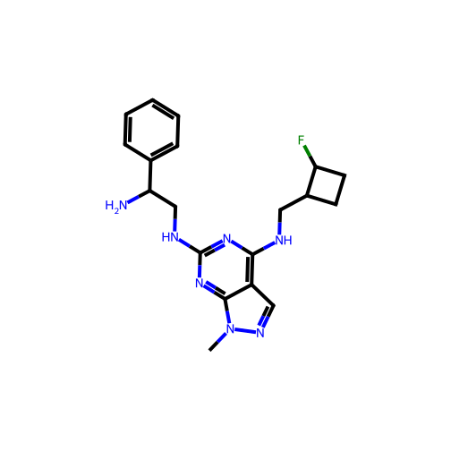 Cn1ncc2c(NCC3CCC3F)nc(NCC(N)c3ccccc3)nc21